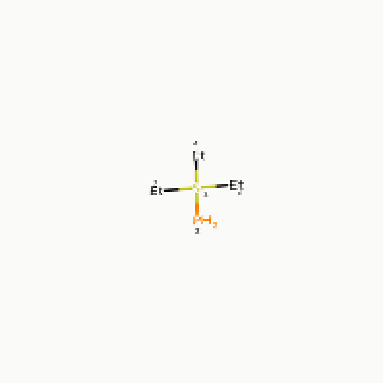 CCS(P)(CC)CC